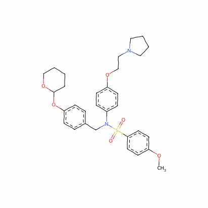 COc1ccc(S(=O)(=O)N(Cc2ccc(OC3CCCCO3)cc2)c2ccc(OCCN3CCCC3)cc2)cc1